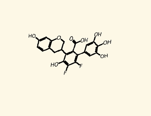 O=C(O)c1c(-c2cc(O)c(O)c(O)c2)c(F)c(F)c(O)c1C1COc2cc(O)ccc2C1